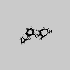 CC1CNCCCC1Oc1ccccc1OC1CCCC1